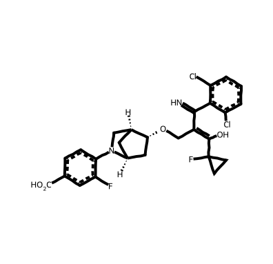 N=C(/C(CO[C@@H]1C[C@@H]2C[C@H]1CN2c1ccc(C(=O)O)cc1F)=C(\O)C1(F)CC1)c1c(Cl)cccc1Cl